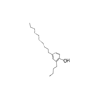 CCCCCCCCCCc1ccc(O)c(CCCC)c1